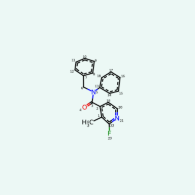 Cc1c(C(=O)N(Cc2ccccc2)c2ccccc2)ccnc1F